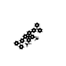 C=C(F)Nc1ccc(C2(c3ccc(NC(=O)I)cc3)c3cc(-c4ccc(N(c5ccccc5)c5ccccc5)cc4)ccc3-c3ccc(-c4ccc(N(c5ccccc5)c5ccccc5)cc4)cc32)cc1